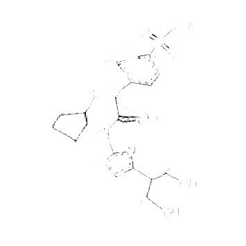 CS(=O)(=O)c1ccc([C@@H](CC2CCCC2)C(=O)Nc2nc(C(CO)CO)cs2)cc1